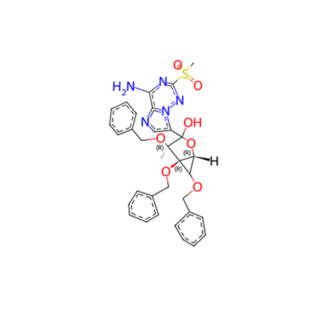 C[C@]1(OCc2ccccc2)C(O)(c2cnc3c(N)nc(S(C)(=O)=O)nn23)O[C@@H]2C(OCc3ccccc3)[C@@]21OCc1ccccc1